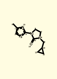 Cc1csc(N2CCN(CC3CC3)C2=O)n1